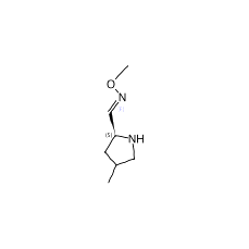 CO/N=C/[C@@H]1CC(C)CN1